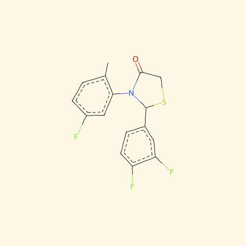 Cc1ccc(F)cc1N1C(=O)CSC1c1ccc(F)c(F)c1